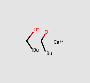 CCC(C)C[O-].CCC(C)C[O-].[Ca+2]